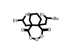 CCCCC(CC)CC12CCCCC1(CC(CC)CCCC)C(=O)OOOC2=O